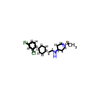 CSN1CCC(NCC[C@H]2CC[C@@H](c3ccc(F)cc3Cl)CC2)CC1